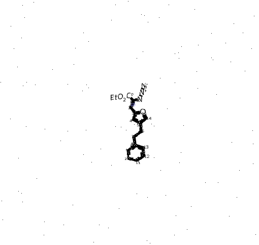 CCOC(=O)/C(=C/c1cc(CCc2ccccc2)co1)N=[N+]=[N-]